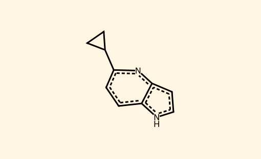 c1cc2nc(C3CC3)ccc2[nH]1